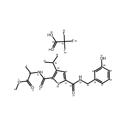 COC(=O)C(C)NC(=O)c1sc(C(=O)NCc2cccc(O)c2)cc1C(C)C.O=C(O)C(F)(F)F